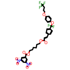 O=C(C=Cc1ccc(C(F)(F)Oc2ccc(OCCCC(F)(F)F)cc2)cc1)OCCCCCCOC(=O)c1cc([N+](=O)[O-])cc([N+](=O)[O-])c1